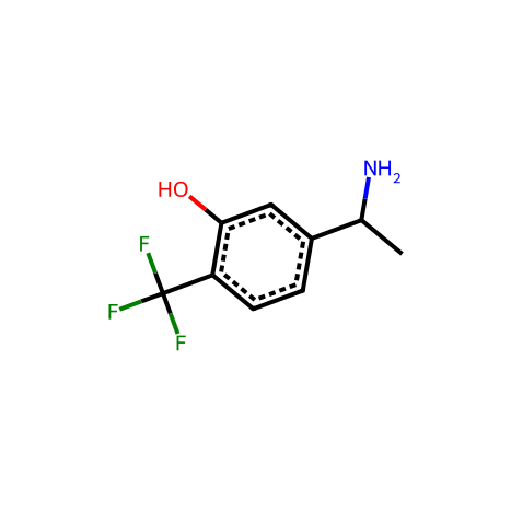 CC(N)c1ccc(C(F)(F)F)c(O)c1